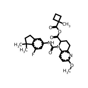 COc1ccc2c(n1)CCC(C(=O)OC(=O)C1(C)CCC1)N2C(=O)Nc1cc(F)c2c(c1)CCC2(C)C